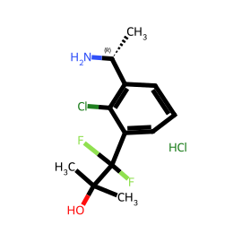 C[C@@H](N)c1cccc(C(F)(F)C(C)(C)O)c1Cl.Cl